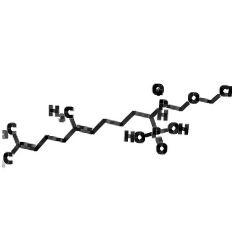 CCOC[PH](=O)C(CCC/C=C(\C)CCC=C(C)C)P(=O)(O)O